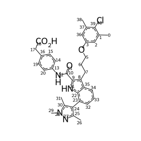 Cc1cc(OCCCc2c(C(=O)Nc3ccc(CC(=O)O)cc3)[nH]c3c(-c4c(C)nn(C)c4C)cccc23)cc(C)c1Cl